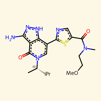 COCCN(C)C(=O)c1cnc(-c2cn([C@@H](C)C(C)C)c(=O)c3c(N)n[nH]c23)s1